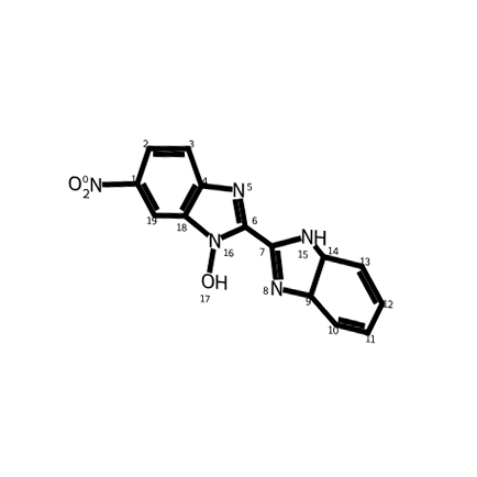 O=[N+]([O-])c1ccc2nc(C3=NC4C=CC=CC4N3)n(O)c2c1